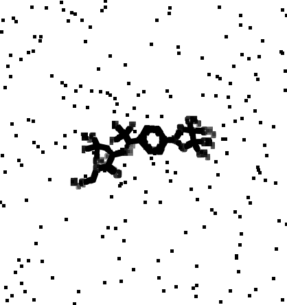 CCOC(=O)[C@@H](CC(C)(C)F)N[C@@H](c1ccc(B2OC(C)(C)C(C)(C)O2)cc1)C(F)(F)F